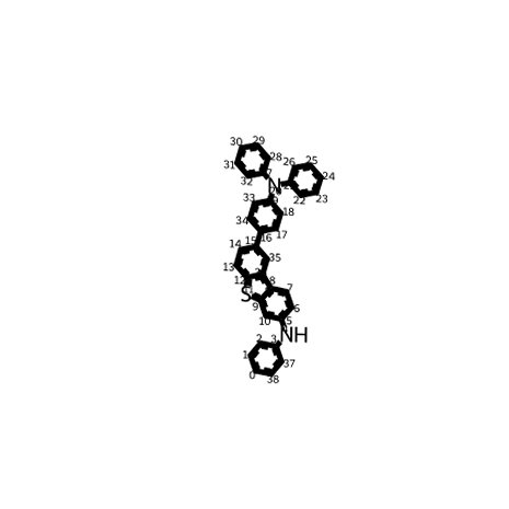 c1ccc(Nc2ccc3c(c2)sc2ccc(-c4ccc(N(c5ccccc5)c5ccccc5)cc4)cc23)cc1